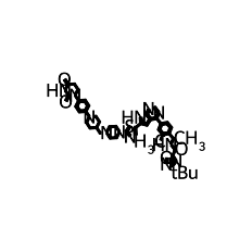 Cc1cc(-c2ncnc3[nH]c(-c4cnc(N5CCN(CC6CCN(c7ccc(N8CCC(=O)NC8=O)cc7)CC6)CC5)s4)cc23)ccc1[C@@H](C)NC(=O)c1nc(C(C)(C)C)no1